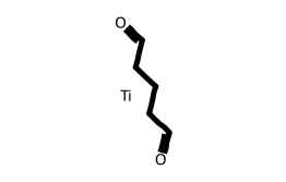 O=CCCCC=O.[Ti]